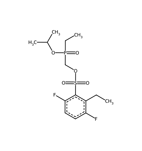 CCc1c(F)ccc(F)c1S(=O)(=O)OCP(=O)(CC)OC(C)C